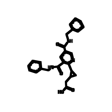 O=C(O)CC1CC1c1ncc(C(=O)NCc2ccccc2)cc1C(=O)NCc1ccccc1